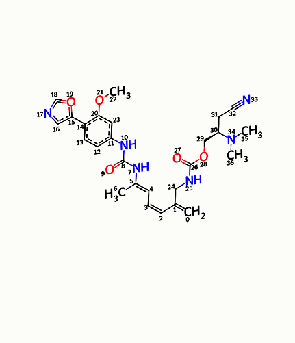 C=C(/C=C\C=C(/C)NC(=O)Nc1ccc(-c2cnco2)c(OC)c1)CNC(=O)OC[C@@H](CC#N)N(C)C